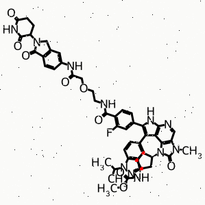 COC(=O)N[C@@H]1CC[C@@H](n2c(=O)n(C)c3cnc4[nH]c(-c5ccc(C(=O)NCCOCC(=O)Nc6ccc7c(c6)CN(C6CCC(=O)NC6=O)C7=O)c(F)c5)c(-c5ccc6c(cnn6C(C)C)c5)c4c32)C1